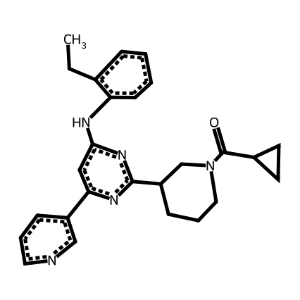 CCc1ccccc1Nc1cc(-c2cccnc2)nc(C2CCCN(C(=O)C3CC3)C2)n1